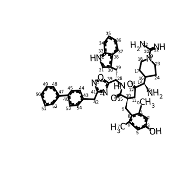 Cc1cc(O)cc(C)c1C[C@H](CC(=O)[C@H](N)C1CCN(C(=N)N)CC1)C(=O)N[C@@H](Cc1c[nH]c2ccccc12)c1nc(Cc2ccc(-c3ccccc3)cc2)no1